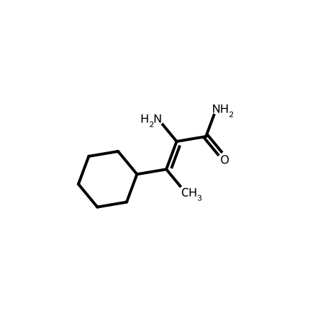 CC(=C(N)C(N)=O)C1CCCCC1